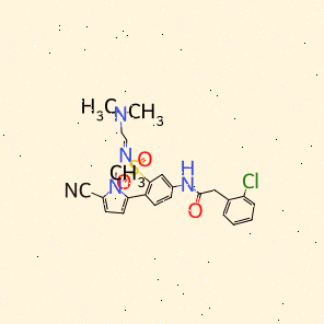 CN(C)CC=NS(=O)(=O)c1cc(NC(=O)Cc2ccccc2Cl)ccc1-c1ccc(C#N)n1C